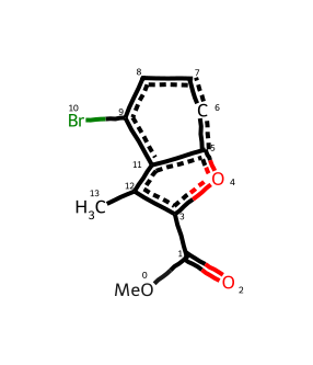 COC(=O)c1oc2cccc(Br)c2c1C